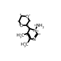 CC1=C(C)C(C2COCCO2)N(N)[C]=N1